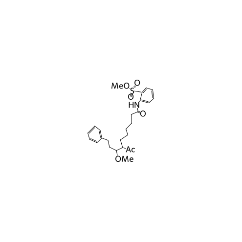 COC(CCc1ccccc1)C(CCCCCC(=O)Nc1ccccc1S(=O)(=O)OC)C(C)=O